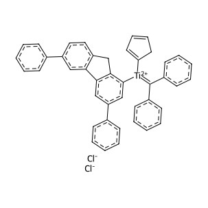 C1=CC[C]([Ti+2](=[C](c2ccccc2)c2ccccc2)[c]2cc(-c3ccccc3)cc3c2Cc2ccc(-c4ccccc4)cc2-3)=C1.[Cl-].[Cl-]